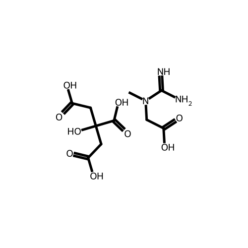 CN(CC(=O)O)C(=N)N.O=C(O)CC(O)(CC(=O)O)C(=O)O